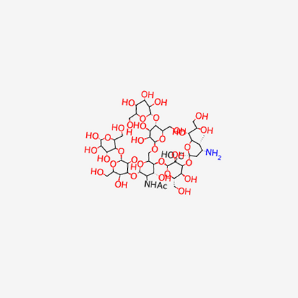 CC(=O)NC1[C@H](O[C@@H]2C(O)[C@H](O[C@@H]3C(CO)O[C@@H](O)C(O)[C@H]3O)OC(CO)[C@@H]2O)OC(CO[C@@H]2OC(CO)[C@@H](O[C@@H]3OC(CO)[C@H](O)[C@H](O)C3O)[C@H](O)C2O)[C@@H](O[C@@H]2O[C@@H](CO)[C@H](O)C(O[C@]3(C(=O)O)C[C@@H](N)[C@@H](C)C([C@H](O)[C@H](O)CO)O3)C2O)[C@@H]1O